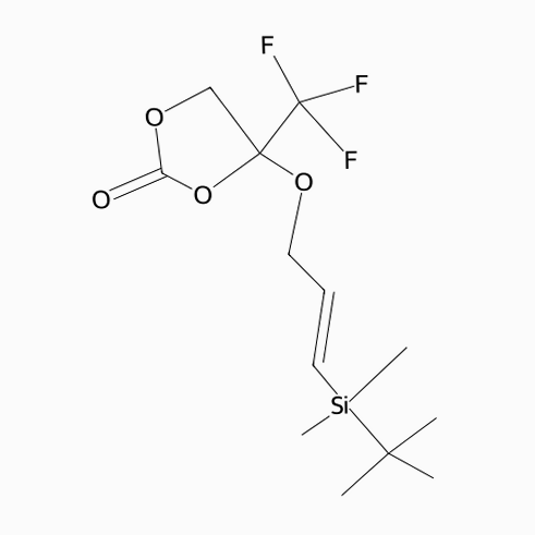 CC(C)(C)[Si](C)(C)/C=C/COC1(C(F)(F)F)COC(=O)O1